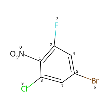 O=[N+]([O-])c1c(F)cc(Br)cc1Cl